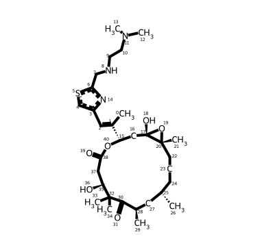 CC(=Cc1csc(CNCCN(C)C)n1)[C@@H]1C[C@]2(O)O[C@]2(C)CCC[C@H](C)C[C@@H](C)C(=O)C(C)(C)[C@@H](O)CC(=O)O1